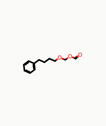 O=[C]OCOCCCCc1ccccc1